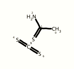 CC(N)=S.S=C=S